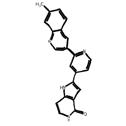 Cc1ccc2cc(-c3cc(-c4cc5c([nH]4)CCNC5=O)ccn3)cnc2c1